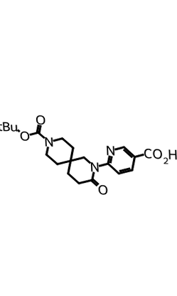 CC(C)(C)OC(=O)N1CCC2(CCC(=O)N(c3ccc(C(=O)O)cn3)C2)CC1